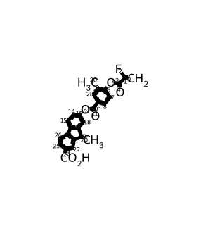 C=C(F)C(=O)Oc1ccc(C(=O)Oc2ccc3c(c2)C(C)c2cc(C(=O)O)ccc2-3)cc1C